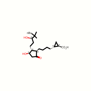 CCCCC(C)(C)[C@H](O)CC[C@H]1[C@H](O)CC(=O)[C@@H]1CCCC[C@@H]1C[C@H]1C(=O)O